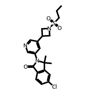 CCCS(=O)(=O)N1CC(c2cncc(N3C(=O)c4ccc(Cl)cc4C3(C)C)c2)C1